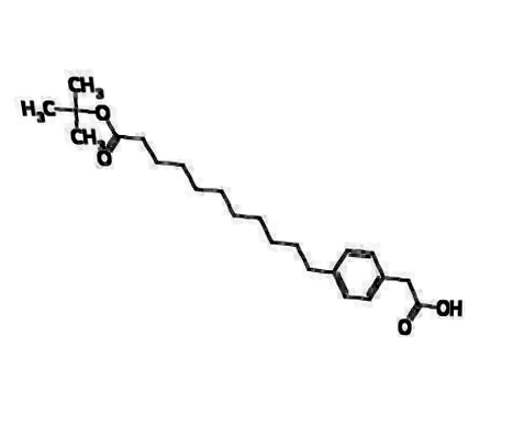 CC(C)(C)OC(=O)CCCCCCCCCCc1ccc(CC(=O)O)cc1